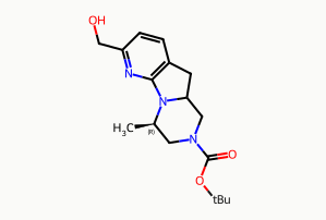 C[C@@H]1CN(C(=O)OC(C)(C)C)CC2Cc3ccc(CO)nc3N21